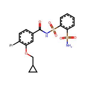 CC(C)c1ccc(C(=O)NS(=O)(=O)c2ccccc2S(N)(=O)=O)cc1OCC1CC1